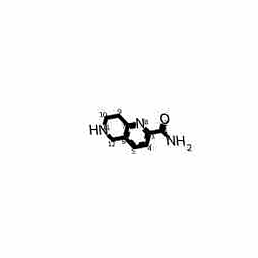 NC(=O)c1[c]cc2c(n1)CCNC2